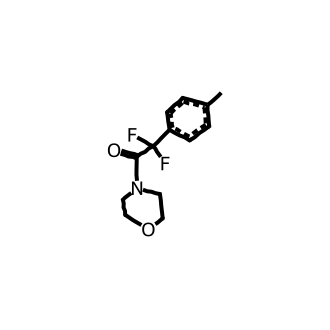 Cc1ccc(C(F)(F)C(=O)N2CCOCC2)cc1